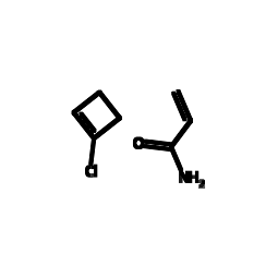 C=CC(N)=O.ClC1=CCC1